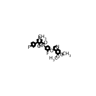 COc1cc2nccc(Oc3ccc(NC(=O)c4cn(C)cc(-c5ccc(F)cc5)c4=O)cc3F)c2cc1OC